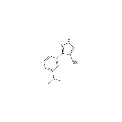 CN(C)c1cccc(-c2n[nH]cc2C(C)(C)C)c1